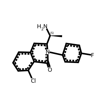 C[C@H](N)c1cc2cccc(Cl)c2c(=O)n1-c1ccc(F)cc1